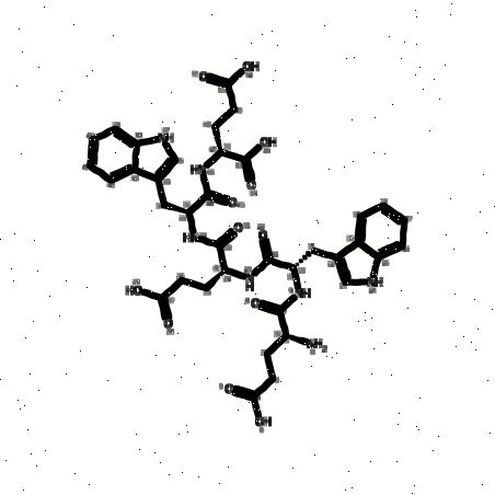 N[C@@H](CCC(=O)O)C(=O)N[C@@H](Cc1c[nH]c2ccccc12)C(=O)N[C@@H](CCC(=O)O)C(=O)N[C@@H](Cc1c[nH]c2ccccc12)C(=O)N[C@@H](CCC(=O)O)C(=O)O